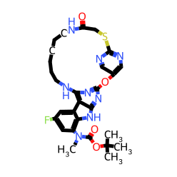 CN(C(=O)OC(C)(C)C)c1cc(F)cc2c1[nH]c1nc3nc(c12)NCCCCCCNC(=O)CSc1ncc(cn1)O3